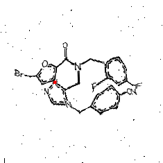 N#Cc1ccc(Cn2cnnc2CN(Cc2ccc(F)cc2F)C(=O)c2ccc(Br)o2)cc1